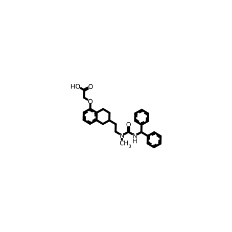 CN(CCC1CCc2c(cccc2OCC(=O)O)C1)C(=O)NC(c1ccccc1)c1ccccc1